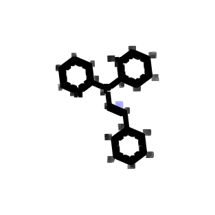 C(=C\P(c1ccccn1)c1ccccn1)/c1ccccc1